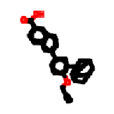 C#CCOc1ccc(-c2ccc3cc(C(=O)O)ccc3c2)cc1C12CC3CC(CC(C3)C1)C2